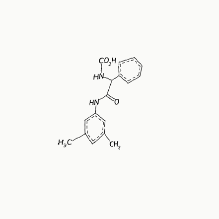 Cc1cc(C)cc(NC(=O)C(NC(=O)O)c2ccccc2)c1